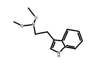 CON(CCc1c[nH]c2ccccc12)OC